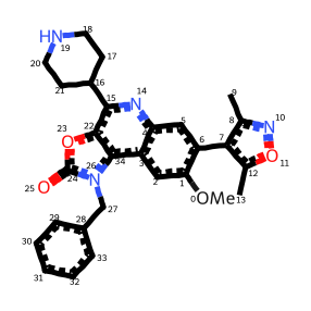 COc1cc2c(cc1-c1c(C)noc1C)nc(C1CCNCC1)c1oc(=O)n(Cc3ccccc3)c12